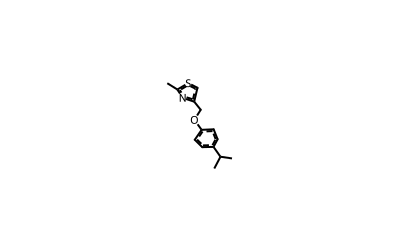 Cc1nc(COc2ccc(C(C)C)cc2)cs1